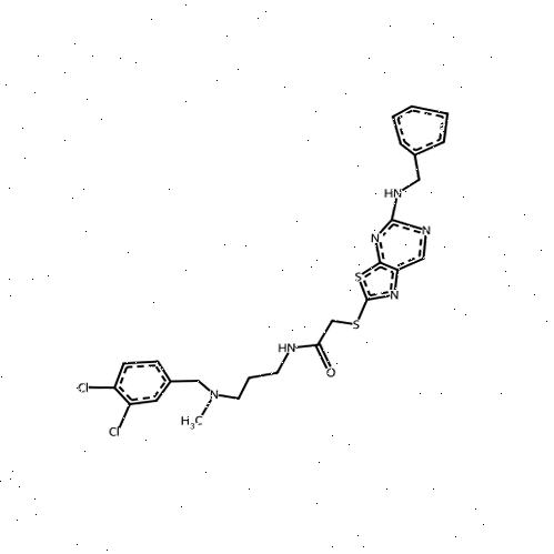 CN(CCCNC(=O)CSc1nc2cnc(NCc3ccccc3)nc2s1)Cc1ccc(Cl)c(Cl)c1